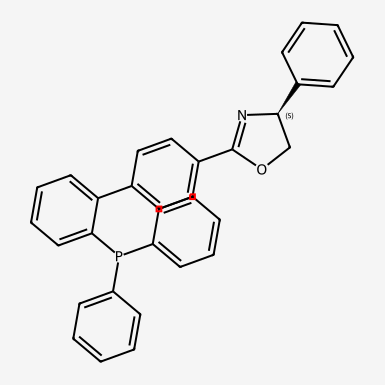 c1ccc([C@H]2COC(c3ccc(-c4ccccc4P(c4ccccc4)c4ccccc4)cc3)=N2)cc1